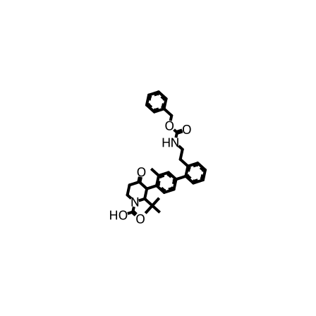 Cc1cc(-c2ccccc2CCNC(=O)OCc2ccccc2)ccc1C1C(=O)CCN(C(=O)O)C1C(C)(C)C